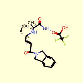 C[C@H](N[C@H](/C=C/C(=O)N1Cc2ccccc2C1)CC(C)(C)C)C(N)=O.O=C(O)C(F)(F)F